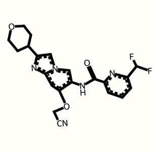 N#CCOc1cc2nc(C3CCOCC3)cn2cc1NC(=O)c1cccc(C(F)F)n1